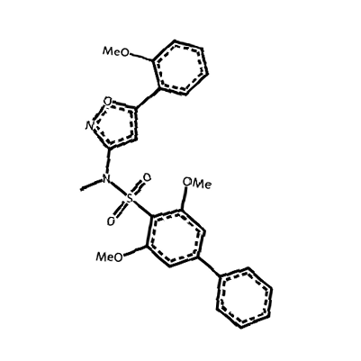 COc1ccccc1-c1cc(N(C)S(=O)(=O)c2c(OC)cc(-c3ccccc3)cc2OC)no1